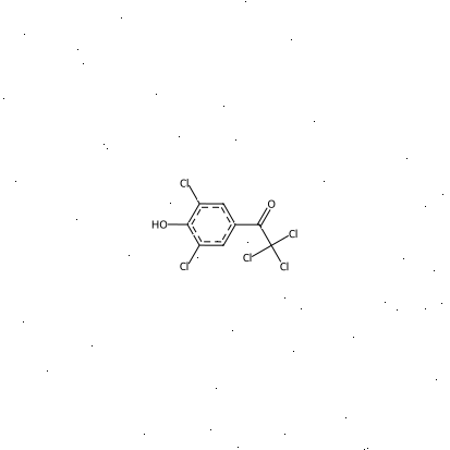 O=C(c1cc(Cl)c(O)c(Cl)c1)C(Cl)(Cl)Cl